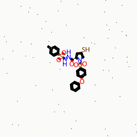 Cc1ccc(S(=O)(=O)NNC(=O)[C@@H]2C[C@@H](S)CN2S(=O)(=O)c2ccc(Oc3ccccc3)cc2)cc1